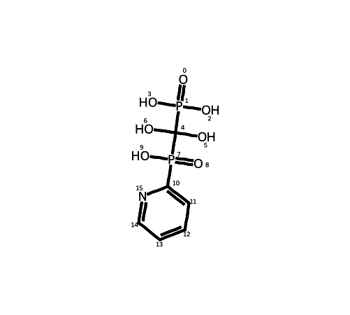 O=P(O)(O)C(O)(O)P(=O)(O)c1ccccn1